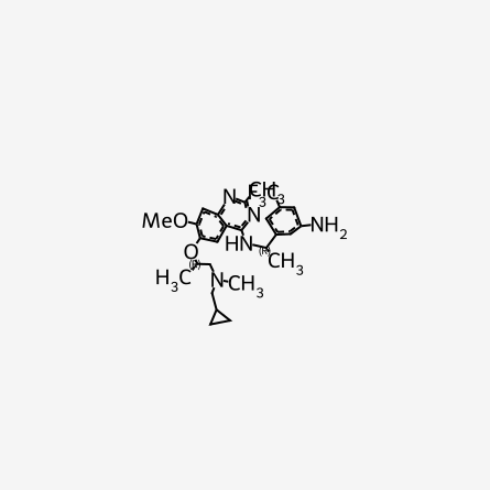 COc1cc2nc(C)nc(N[C@H](C)c3cc(N)cc(C(F)(F)F)c3)c2cc1O[C@H](C)CN(C)CC1CC1